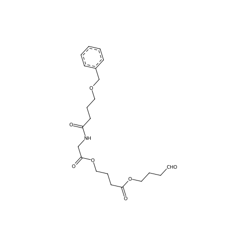 O=CCCCOC(=O)CCCOC(=O)CNC(=O)CCCOCc1ccccc1